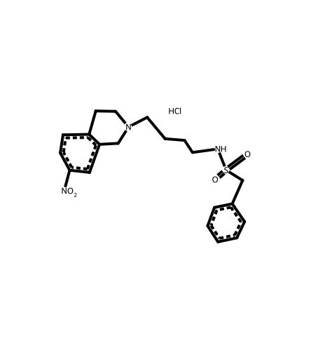 Cl.O=[N+]([O-])c1ccc2c(c1)CN(CCCCNS(=O)(=O)Cc1ccccc1)CC2